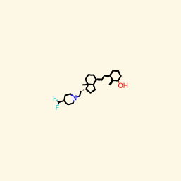 C=C1/C(=C\C=C2/CCCC3(C)C2CC[C@@H]3CCN2CCC(C(F)F)CC2)CCCC1O